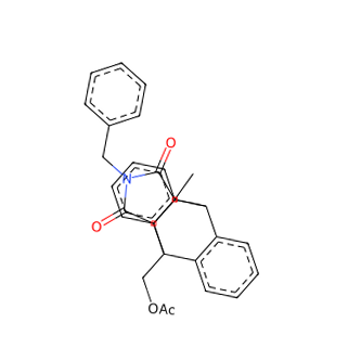 CC(=O)OCC12c3ccccc3C(c3ccccc31)C1(C)C(=O)N(Cc3ccccc3)C(=O)C21